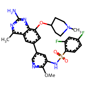 COc1ncc(-c2cc(OC3CCN(C)CC3)c3nc(N)nc(C)c3c2)cc1NS(=O)(=O)c1ccc(F)cc1F